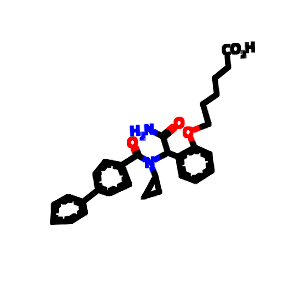 NC(=O)C(c1ccccc1OCCCCCC(=O)O)N(C(=O)c1ccc(-c2ccccc2)cc1)C1CC1